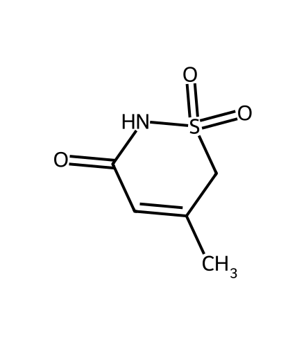 CC1=CC(=O)NS(=O)(=O)C1